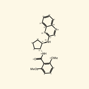 COc1cccc(OC)c1C(=O)N[C@@H]1CCC[C@H]1Nc1cnc2ccccc2n1